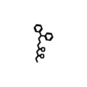 CCC(=O)CC(=O)CCCC(c1ccccc1)c1ccccc1